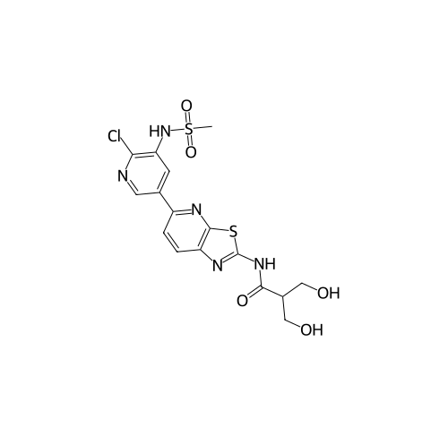 CS(=O)(=O)Nc1cc(-c2ccc3nc(NC(=O)C(CO)CO)sc3n2)cnc1Cl